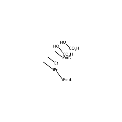 CC(C)C.CCC.CCCC(C)C.CCCC(C)C.O=C(O)O.O=C(O)O